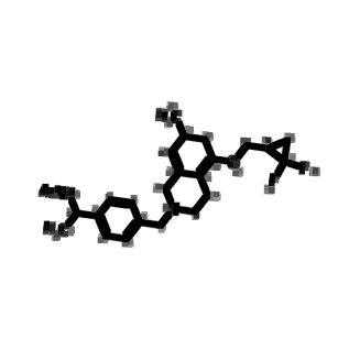 CC(=O)NC(C)c1ccc(CN2CCC3=C(OCC4CC4(F)F)CC(C)C=C3C2)cc1